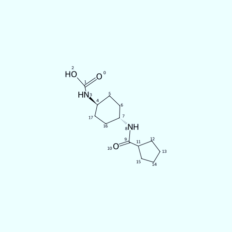 O=C(O)N[C@H]1CC[C@H](NC(=O)C2CCCC2)CC1